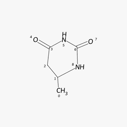 CC1CC(=O)NC(=O)N1